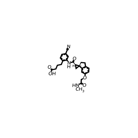 CNC(=O)COc1ccc2c(c1)[C@]1(CC2)C[C@H]1C(=O)Nc1cc(C#N)ccc1CCCC(=O)O